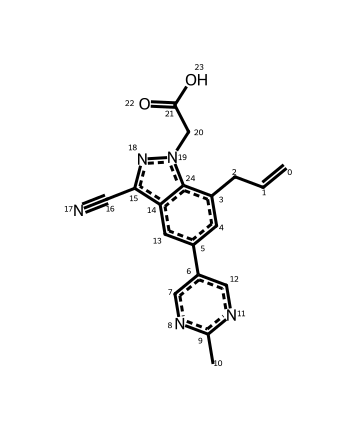 C=CCc1cc(-c2cnc(C)nc2)cc2c(C#N)nn(CC(=O)O)c12